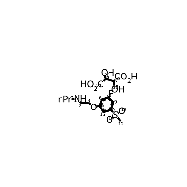 CCCNCCOc1cc(F)cc(S(C)(=O)=O)c1.O=C(O)C(O)C(O)C(=O)O